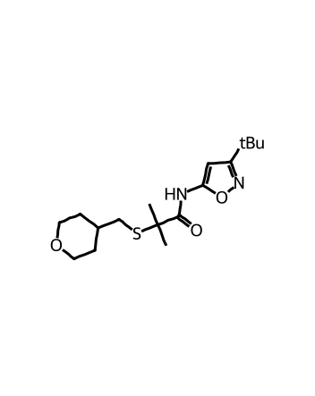 CC(C)(SCC1CCOCC1)C(=O)Nc1cc(C(C)(C)C)no1